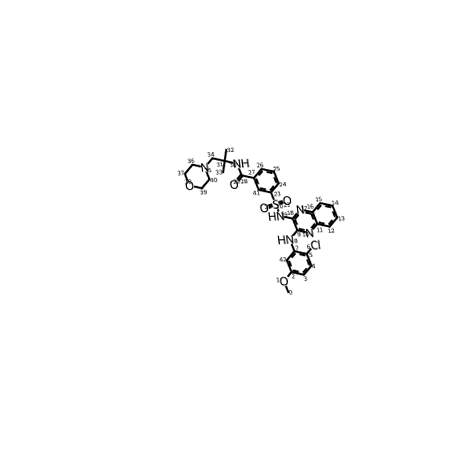 COc1ccc(Cl)c(Nc2nc3ccccc3nc2NS(=O)(=O)c2cccc(C(=O)NC(C)(C)CN3CCOCC3)c2)c1